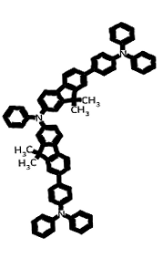 CC1(C)c2cc(-c3ccc(N(c4ccccc4)c4ccccc4)cc3)ccc2-c2ccc(N(c3ccccc3)c3ccc4c(c3)C(C)(C)c3cc(-c5ccc(N(c6ccccc6)c6ccccc6)cc5)ccc3-4)cc21